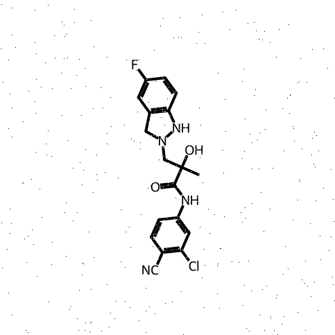 CC(O)(CN1Cc2cc(F)ccc2N1)C(=O)Nc1ccc(C#N)c(Cl)c1